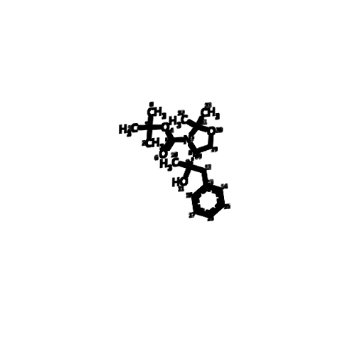 CC(C)(C)OC(=O)N1[C@@H](C(C)(O)Cc2ccccc2)COC1(C)C